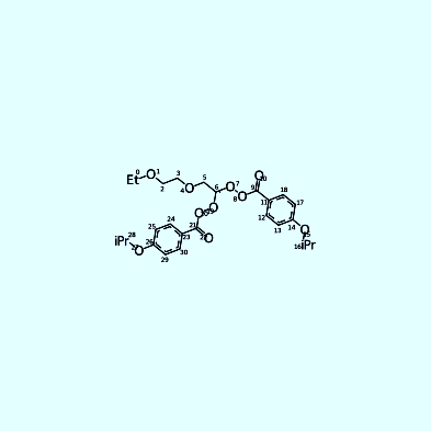 [CH2]COCCOC[C](OOC(=O)c1ccc(OC(C)C)cc1)OOC(=O)c1ccc(OC(C)C)cc1